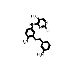 Cc1cnc(Cl)nc1Nc1ccc(N)c(CCC2C=C(N)C=CC2)c1